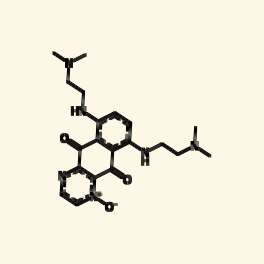 CN(C)CCNc1ccc(NCCN(C)C)c2c1C(=O)c1ncc[n+]([O-])c1C2=O